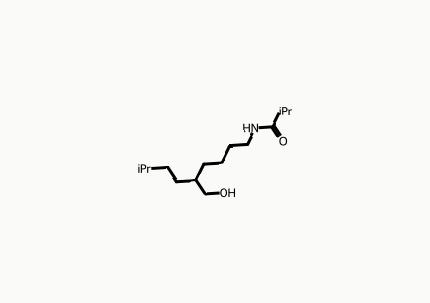 CC(C)CCC(CO)CCCCNC(=O)C(C)C